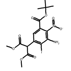 COC(=O)C(C(=O)OC)c1cc(C(=O)OC(C)(C)C)c([N+](=O)[O-])c(N)c1I